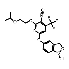 [C-]#[N+]c1c(C(F)(F)F)cc(Oc2ccc3c(c2)COB3O)nc1OCCOC(C)C